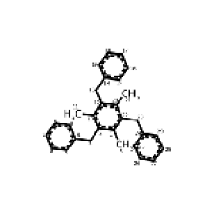 Cc1c(Cc2ccccc2)c(C)c(Cc2ccccc2)c(C)c1Cc1ccccc1